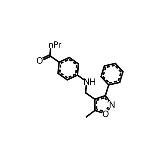 CCCC(=O)c1ccc(NCc2c(-c3ccccc3)noc2C)cc1